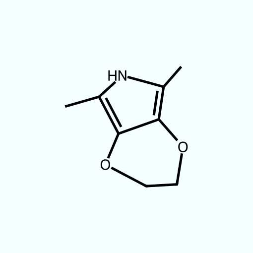 Cc1[nH]c(C)c2c1OCCO2